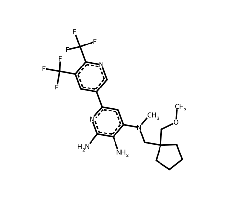 COCC1(CN(C)c2cc(-c3cnc(C(F)(F)F)c(C(F)(F)F)c3)nc(N)c2N)CCCC1